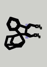 C/C=C1\C(=C/C)c2ccccc2C12C1CC3CC(C1)CC2C3